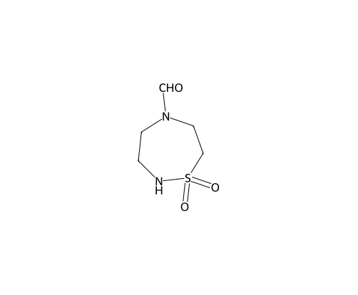 O=CN1CCNS(=O)(=O)CC1